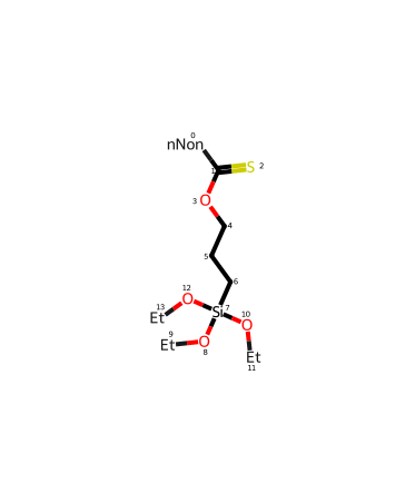 CCCCCCCCCC(=S)OCCC[Si](OCC)(OCC)OCC